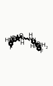 Cc1[nH]c(C=C2C(=O)Nc3ccc(F)cc32)c(C)c1C(=O)NCCCCNc1ccc(C(=O)Nc2ccc(F)cc2N)cn1